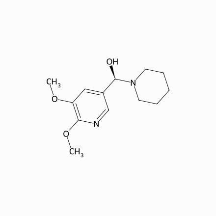 COc1cc([C@@H](O)N2CCCCC2)cnc1OC